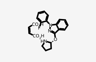 Fc1ccccc1-n1nc(O[C@@H]2CCCN2)c2ccccc21.O=C(O)/C=C\C(=O)O